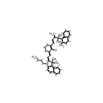 C=C(/C=C/C1=C(Cl)C(=C/C=C2/N(CCCC)c3ccc4ccccc4c3C2(C)C)/CCC1)C(C)(C)c1c(C)ccc2ccccc12